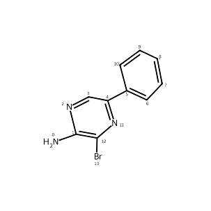 Nc1ncc(-c2cc[c]cc2)nc1Br